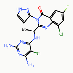 CC[C@H](Nc1nc(N)nc(N)c1Cl)c1nc2c(Cl)cc(F)cc2c(=O)n1-c1cc[nH]n1